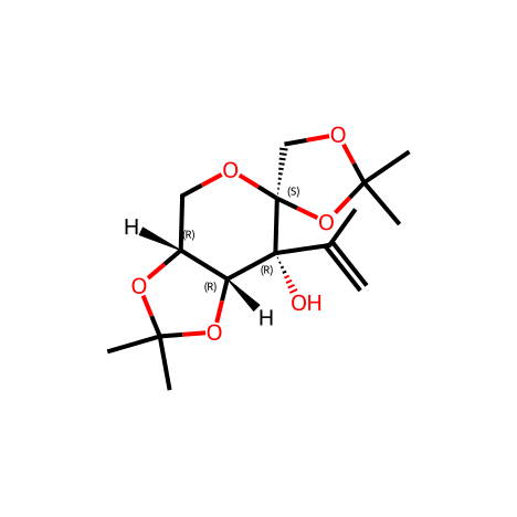 C=C(C)[C@@]1(O)[C@@H]2OC(C)(C)O[C@@H]2CO[C@]12COC(C)(C)O2